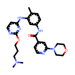 Cc1ccc(NC(=O)c2ccnc(N3CCOCC3)c2)cc1Nc1ccnc(OCCCN(C)C)n1